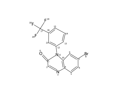 O=c1cnc2ccc(Br)cc2n1-c1cccc(C(F)(F)F)c1